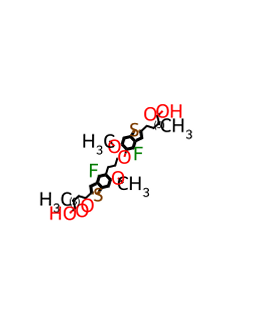 COc1cc2sc(C(=O)C[C@H](C)C(=O)O)cc2c(F)c1CCCOc1c(OC)cc2sc(CC[C@H](C)C(=O)O)cc2c1F